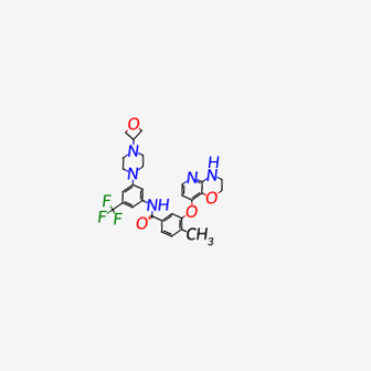 Cc1ccc(C(=O)Nc2cc(N3CCN(C4COC4)CC3)cc(C(F)(F)F)c2)cc1Oc1ccnc2c1OCCN2